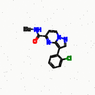 CCC(C)NC(=O)c1ccn2ncc(-c3ccccc3Cl)c2n1